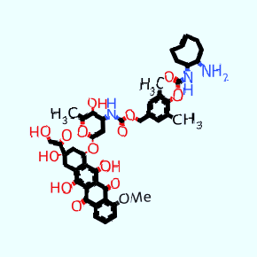 COc1cccc2c1C(=O)c1c(O)c3c(c(O)c1C2=O)C[C@@](O)(C(=O)CO)C[C@@H]3O[C@H]1CC(NC(=O)OCc2cc(C)c(OC(=O)NC3CC/C=C/CCC3N)c(C)c2)[C@H](O)C(C)O1